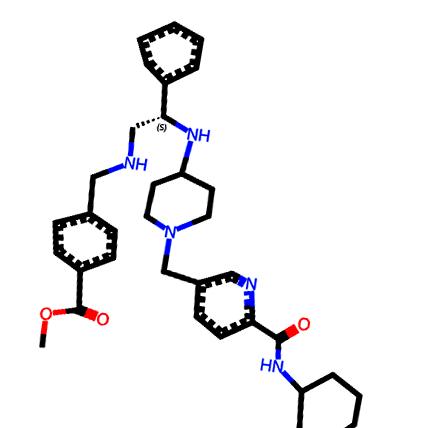 COC(=O)c1ccc(CNC[C@@H](NC2CCN(Cc3ccc(C(=O)NC4CCCCC4)nc3)CC2)c2ccccc2)cc1